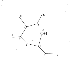 CCC(O)CC(C)C(C)CC